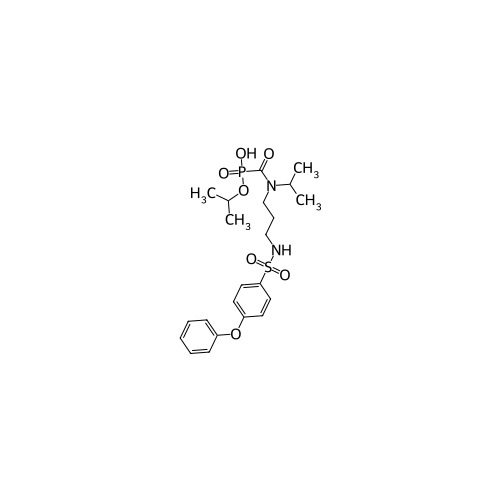 CC(C)OP(=O)(O)C(=O)N(CCCNS(=O)(=O)c1ccc(Oc2ccccc2)cc1)C(C)C